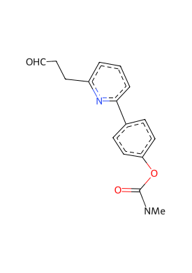 CNC(=O)Oc1ccc(-c2cccc(CCC=O)n2)cc1